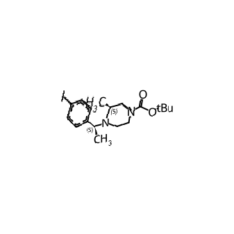 C[C@H]1CN(C(=O)OC(C)(C)C)CCN1[C@@H](C)c1ccc(I)cc1